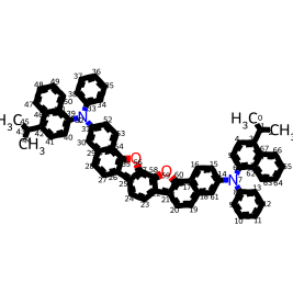 CC(C)c1ccc(N(c2ccccc2)c2ccc3c(ccc4c5ccc6c7ccc8cc(N(c9ccccc9)c9ccc(C(C)C)c%10ccccc9%10)ccc8c7oc6c5oc34)c2)c2ccccc12